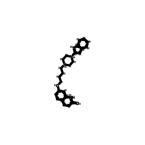 O=c1ccc2ccc(OCCCCN3CCN(c4cc5ccccc5s4)CC3)cc2[nH]1